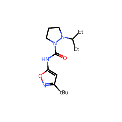 CCC(CC)N1CCCN1C(=O)Nc1cc(C(C)(C)C)no1